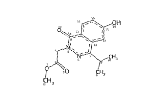 COC(=O)Cn1nc(C(C)C)c2cc(O)ccc2c1=O